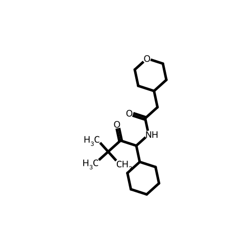 CC(C)(C)C(=O)C(NC(=O)CC1CCOCC1)C1CCCCC1